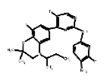 CCC(C)N1CC(C)(C)Oc2c(F)cc(-c3nc(Nc4ccc(N)c(F)c4)ncc3F)cc21